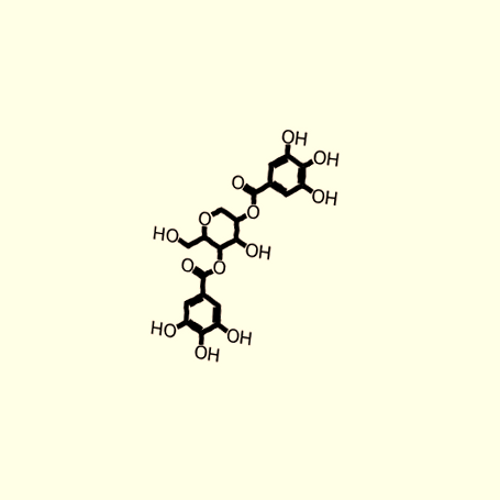 O=C(OC1COC(CO)C(OC(=O)c2cc(O)c(O)c(O)c2)C1O)c1cc(O)c(O)c(O)c1